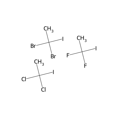 CC(Br)(Br)I.CC(Cl)(Cl)I.CC(F)(F)I